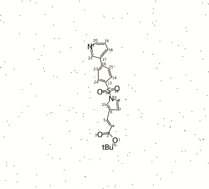 CC(C)(C)OC(=O)/C=C/c1ccn(S(=O)(=O)c2ccc(-c3cccnc3)cc2)c1